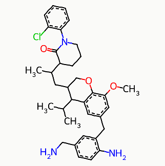 COc1cc(Cc2cc(CN)ccc2N)cc2c1OCC(CC(C)C1CCCN(c3ccccc3Cl)C1=O)C2C(C)C